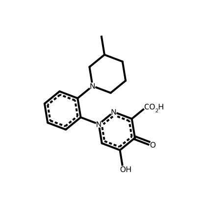 CC1CCCN(c2ccccc2-n2cc(O)c(=O)c(C(=O)O)n2)C1